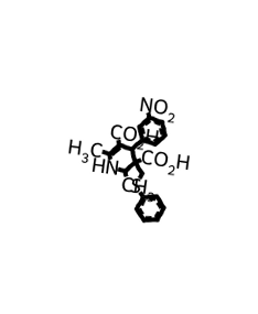 CC1=C(C(=O)O)C(c2cccc([N+](=O)[O-])c2)C(CSc2ccccc2)(C(=O)O)C(C)N1